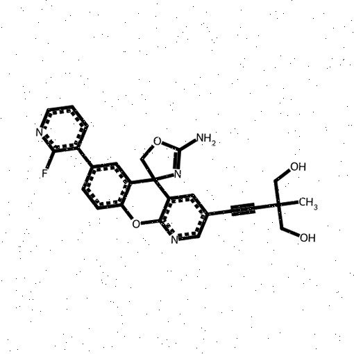 CC(C#Cc1cnc2c(c1)C1(COC(N)=N1)c1cc(-c3cccnc3F)ccc1O2)(CO)CO